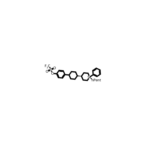 CCCCC[Si@]1(c2ccccc2)CC[C@H](C2CCC(c3ccc(OS(=O)(=O)C(F)(F)F)cc3)CC2)CC1